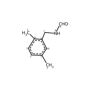 Cc1ccc(C)c(CN[C]=O)c1